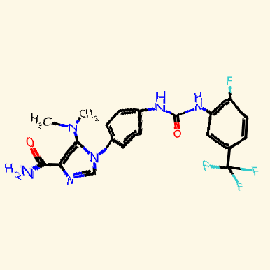 CN(C)c1c(C(N)=O)ncn1-c1ccc(NC(=O)Nc2cc(C(F)(F)F)ccc2F)cc1